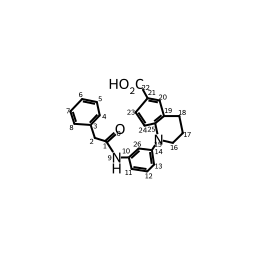 O=C(Cc1ccccc1)Nc1cccc(N2CCCc3cc(C(=O)O)ccc32)c1